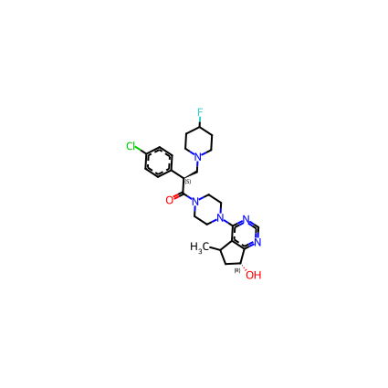 CC1C[C@@H](O)c2ncnc(N3CCN(C(=O)[C@H](CN4CCC(F)CC4)c4ccc(Cl)cc4)CC3)c21